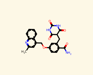 Cc1cc(COc2ccc(C(N)=O)c(CC3C(=O)NC(=O)NC3=O)c2)c2ccccc2n1